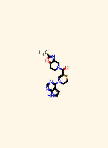 Cc1nc2c(o1)CCN(C(=O)C1=CN(c3ncnc4[nH]ccc34)CCS1)C2